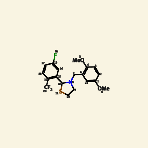 COc1ccc(OC)c(CN2CCSC2c2cc(F)ccc2C(F)(F)F)c1